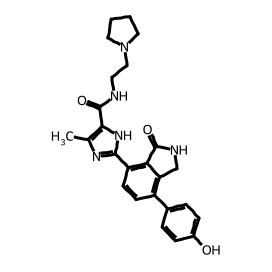 Cc1nc(-c2ccc(-c3ccc(O)cc3)c3c2C(=O)NC3)[nH]c1C(=O)NCCN1CCCC1